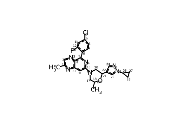 Cc1cnc2c(-c3ccc(Cl)cc3F)nc(N3CC(C)OC(c4cnn(C5CC5)c4)C3)cc2n1